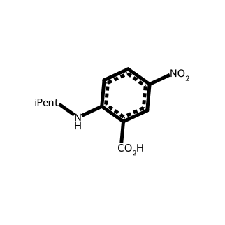 CCCC(C)Nc1ccc([N+](=O)[O-])cc1C(=O)O